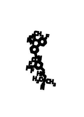 Cn1cnnc1-c1cc(F)ccc1-c1cccc(-c2nc3cc(CNCC(C)(C)C#N)cc(C(F)(F)F)c3o2)c1